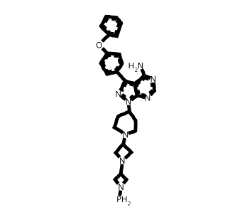 Nc1ncnc2c1c(-c1ccc(Oc3ccccc3)cc1)nn2C1CCN(C2CN(C3CN(P)C3)C2)CC1